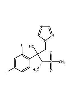 C[C@H](C(O)(Cn1cncn1)c1ccc(F)cc1F)S(C)(=O)=O